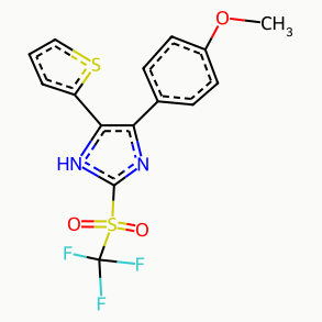 COc1ccc(-c2nc(S(=O)(=O)C(F)(F)F)[nH]c2-c2cccs2)cc1